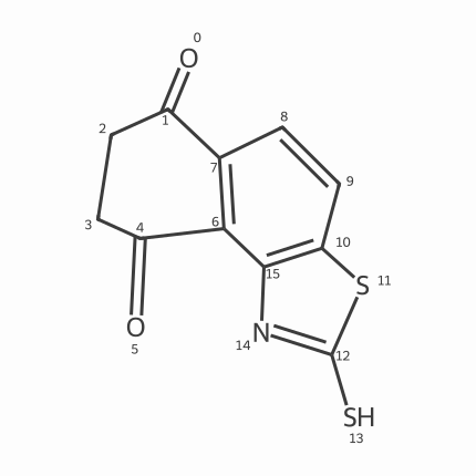 O=C1CCC(=O)c2c1ccc1sc(S)nc21